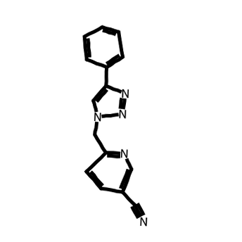 N#Cc1ccc(Cn2cc(-c3ccccc3)nn2)nc1